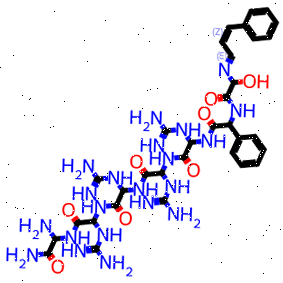 N=C(N)NC(NC(=O)C(NC(=N)N)NC(=O)C(NC(=N)N)NC(=O)C(NC(=N)N)NC(=O)C(NC(=O)C(O)/N=C/C=C\c1ccccc1)c1ccccc1)C(=O)NC(N)C(N)=O